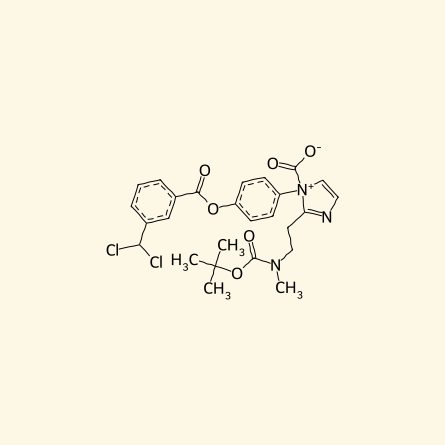 CN(CCC1=NC=C[N+]1(C(=O)[O-])c1ccc(OC(=O)c2cccc(C(Cl)Cl)c2)cc1)C(=O)OC(C)(C)C